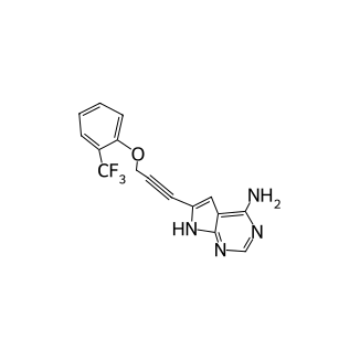 Nc1ncnc2[nH]c(C#CCOc3ccccc3C(F)(F)F)cc12